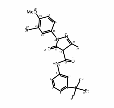 CCC(F)(F)c1cccc(NC(=O)C2C(=O)N(c3ccc(OC)c(Br)c3)N=C2C)c1